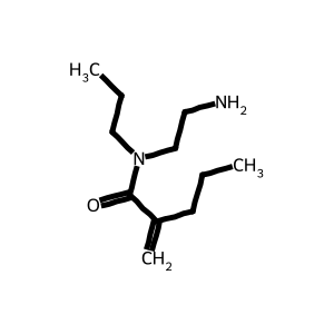 C=C(CCC)C(=O)N(CCC)CCN